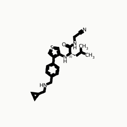 CC(C)C[C@H](Nc1cscc1-c1ccc(CNCC2CC2)cc1)C(=O)NCC#N